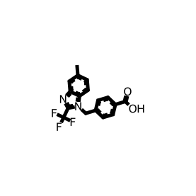 Cc1ccc2c(c1)nc(C(F)(F)F)n2Cc1ccc(C(=O)O)cc1